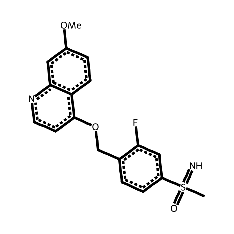 COc1ccc2c(OCc3ccc(S(C)(=N)=O)cc3F)ccnc2c1